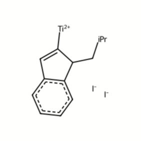 CC(C)CC1[C]([Ti+2])=Cc2ccccc21.[I-].[I-]